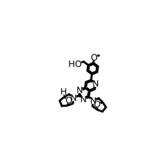 COc1ccc(-c2cc3nc(N4CC5CC[C@@H](C4)O5)nc(N4CC5CCC(C4)O5)c3cn2)cc1CO